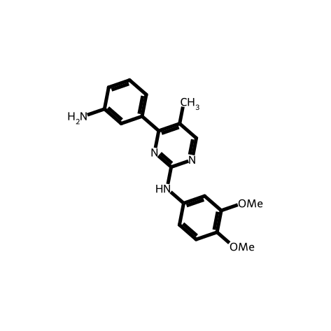 COc1ccc(Nc2ncc(C)c(-c3cccc(N)c3)n2)cc1OC